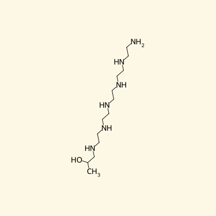 CC(O)CNCCNCCNCCNCCNCCN